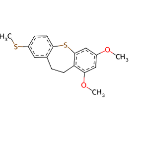 COc1cc(OC)c2c(c1)Sc1ccc(SC)cc1CC2